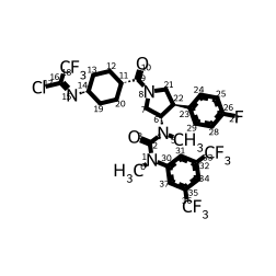 CN(C(=O)N(C)[C@@H]1CN(C(=O)[C@H]2CC[C@@H](/N=C(/Cl)C(F)(F)F)CC2)C[C@H]1c1ccc(F)cc1)c1cc(C(F)(F)F)cc(C(F)(F)F)c1